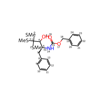 CSC(SC)(SC)C(O)[C@H](Cc1ccccc1)NC(=O)OCc1ccccc1